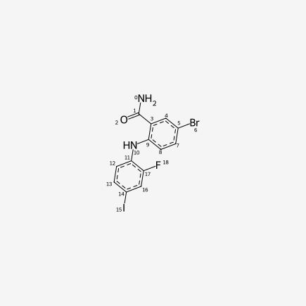 NC(=O)c1cc(Br)ccc1Nc1ccc(I)cc1F